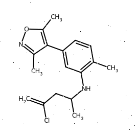 C=C(Cl)CC(C)Nc1cc(-c2c(C)noc2C)ccc1C